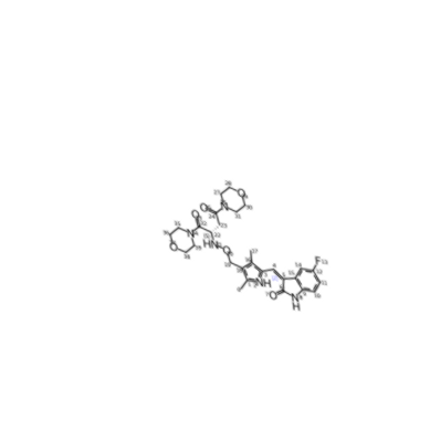 Cc1[nH]c(/C=C2\C(=O)Nc3ccc(F)cc32)c(C)c1CON[C@@H](CC(=O)N1CCOCC1)C(=O)N1CCOCC1